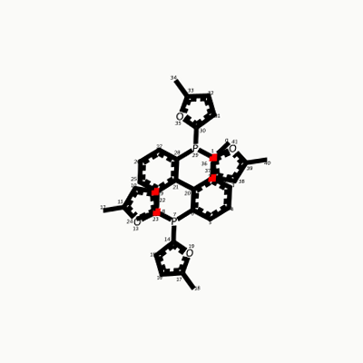 COc1cccc(P(c2ccc(C)o2)c2ccc(C)o2)c1-c1c(OC)cccc1P(c1ccc(C)o1)c1ccc(C)o1